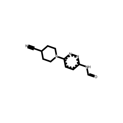 N#CC1CCN(c2ccc(NC=O)nn2)CC1